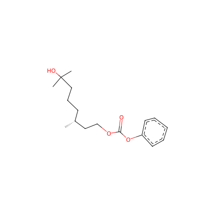 C[C@H](CCCC(C)(C)O)CCOC(=O)Oc1ccccc1